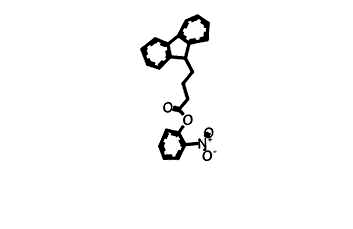 O=C(CCCC1c2ccccc2-c2ccccc21)Oc1ccccc1[N+](=O)[O-]